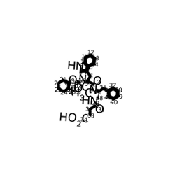 CN(C(=O)C(C)(Cc1c[nH]c2ccccc12)NC(=O)O[C@@H]1CCCC[C@@H]1F)[C@@H](CNC(=O)CCC(=O)O)Cc1ccccc1